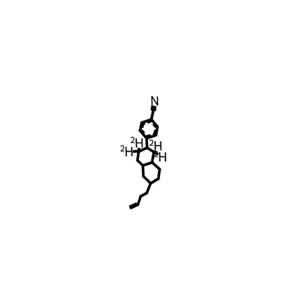 [2H]C1([2H])CC2CC(CCC=C)CCC2C([2H])([2H])C1c1ccc(C#N)cc1